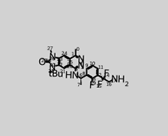 Cc1nnc(N[C@H](C)c2cccc(C(F)(F)CN)c2F)c2cc3c(cc12)n(C)c(=O)n3C(C)(C)C